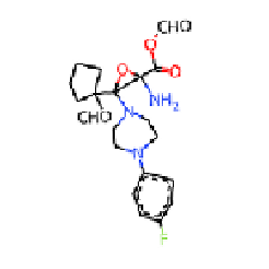 NC1(C(=O)OC=O)OC1(N1CCN(c2ccc(F)cc2)CC1)C1(C=O)CCCC1